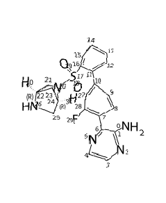 Nc1nccnc1-c1ccc(-c2ccccc2S(=O)(=O)N2C[C@H]3C[C@@H]2CN3)cc1F